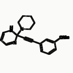 COc1cccc(C#CC2(N3CCCCC3)N=CC=CN2)c1